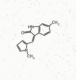 Cc1ccc2c(c1)NC(=O)C2=Cc1cccn1C